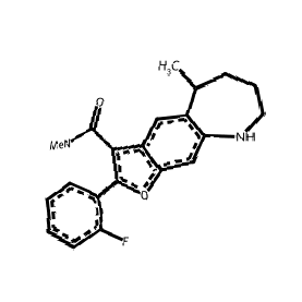 CNC(=O)c1c(-c2ccccc2F)oc2cc3c(cc12)C(C)CCCN3